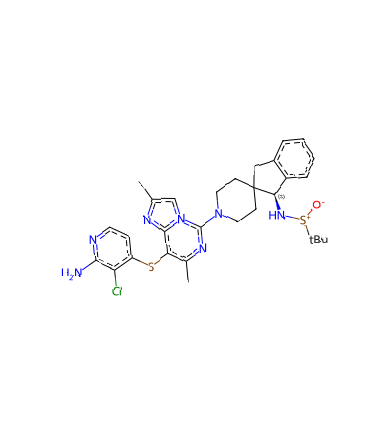 Cc1cn2c(N3CCC4(CC3)Cc3ccccc3[C@H]4N[S+]([O-])C(C)(C)C)nc(C)c(Sc3ccnc(N)c3Cl)c2n1